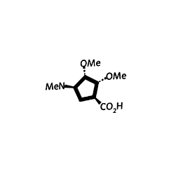 CN[C@@H]1C[C@H](C(=O)O)[C@@H](OC)[C@H]1OC